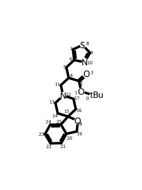 CC(C)(C)OC(=O)C(Cc1cscn1)CN1CCC2(CC1)OCc1ccccc12